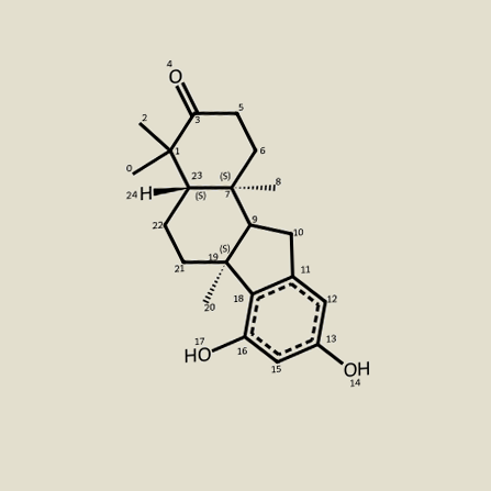 CC1(C)C(=O)CC[C@@]2(C)C3Cc4cc(O)cc(O)c4[C@@]3(C)CC[C@H]12